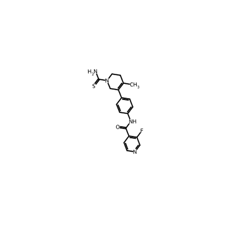 CC1=C(c2ccc(NC(=O)c3ccncc3F)cc2)CN(C(N)=S)CC1